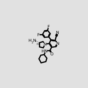 N#Cc1ncc(C(=O)NC2CCCCC2)c(N2CC[C@H](N)C2)c1-c1cc(F)cc(F)c1